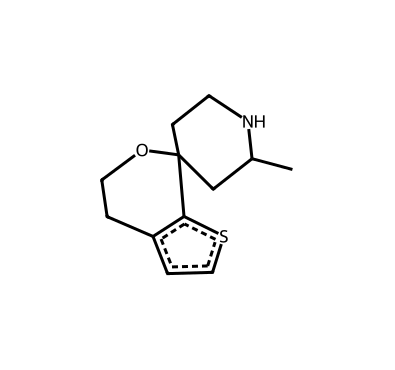 CC1CC2(CCN1)OCCc1ccsc12